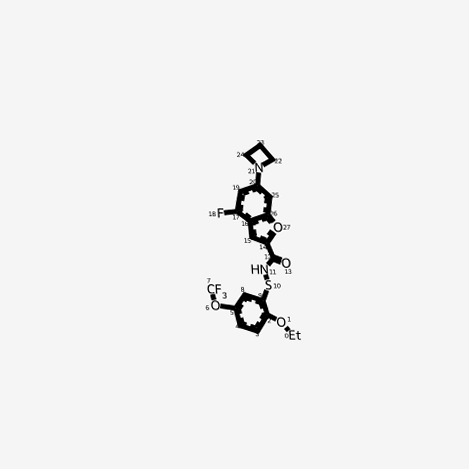 CCOc1ccc(OC(F)(F)F)cc1SNC(=O)c1cc2c(F)cc(N3CCC3)cc2o1